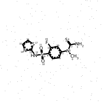 CN(C(N)=S)c1ccc(S(=O)(=O)Nc2nccs2)c(F)c1